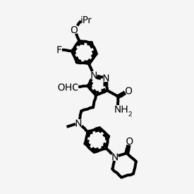 CC(C)Oc1ccc(-n2nc(C(N)=O)c(CCN(C)c3ccc(N4CCCCC4=O)cc3)c2C=O)cc1F